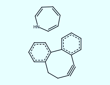 C1#Cc2ccccc2-c2ccccc2CC1.C1=CC=CNC=C1